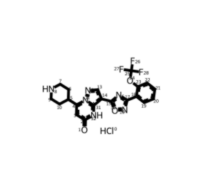 Cl.O=c1cc(C2CCNCC2)n2ncc(-c3nc(-c4ccccc4OC(F)(F)F)no3)c2[nH]1